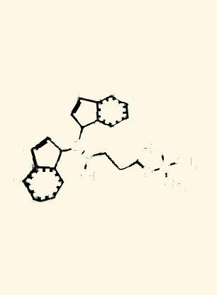 C[Si](CCCO[Si](C)(C)C)=[Zr]([CH]1C=Cc2ccccc21)[CH]1C=Cc2ccccc21